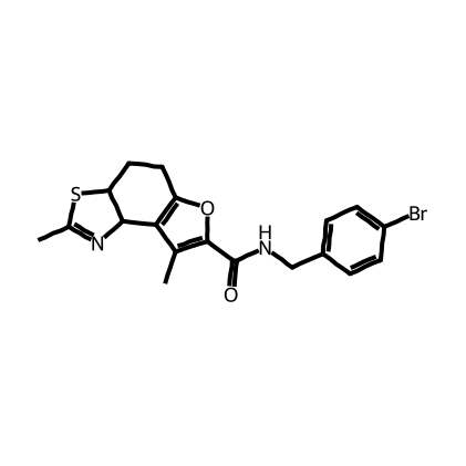 CC1=NC2c3c(oc(C(=O)NCc4ccc(Br)cc4)c3C)CCC2S1